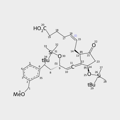 COCc1cccc(CC[C@@H](C=C=C2[C@@H](C/C=C\CCCC(=O)O)C(=O)C[C@H]2O[Si](C)(C)C(C)(C)C)O[Si](C)(C)C(C)(C)C)c1